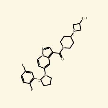 O=C(c1cnn2ccc(N3CCC[C@@H]3c3cc(F)ccc3F)cc12)N1CCC(N2CC(O)C2)CC1